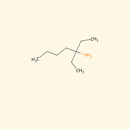 CCCCC(P)(CC)CC